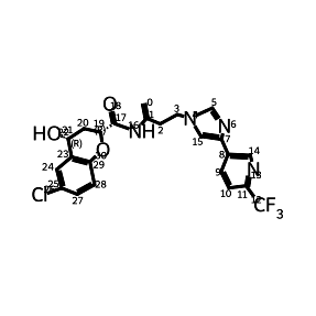 C=C(CCn1cnc(-c2ccc(C(F)(F)F)nc2)c1)NC(=O)[C@H]1C[C@@H](O)c2cc(Cl)ccc2O1